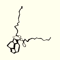 CCCCCCCCCCCC(=O)OC1=c2ccc3c4c(ccc(c24)=C1OC(=O)CCCCCCCCCCC)=CC=3